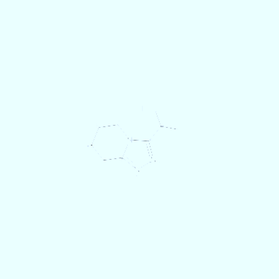 CC(C)c1nnc2n1CCCC2